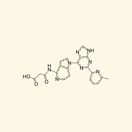 Cc1cccc(-c2nc(-n3ccc4c(NC(=O)CC(=O)O)nccc43)c3nc[nH]c3n2)n1